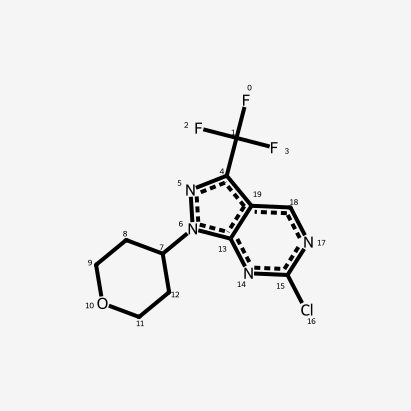 FC(F)(F)c1nn(C2CCOCC2)c2nc(Cl)ncc12